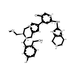 COC[C@H]1Cn2cc(-c3cc(Nc4nc5c(s4)COCC5)ncc3Cl)cc2CN1Cc1cc(F)ccc1CO